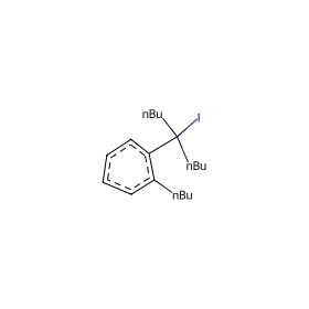 CCCCc1ccccc1C(I)(CCCC)CCCC